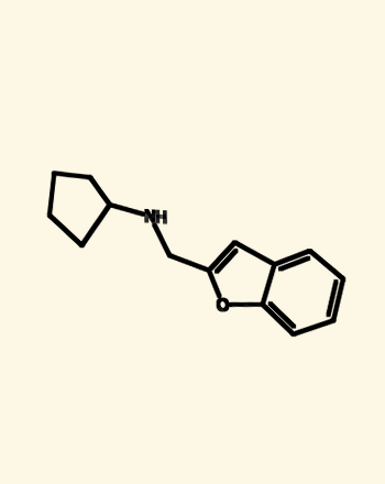 c1ccc2oc(CNC3CCCC3)cc2c1